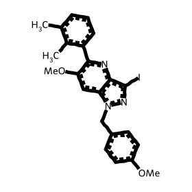 COc1ccc(Cn2nc(I)c3nc(-c4cccc(C)c4C)c(OC)cc32)cc1